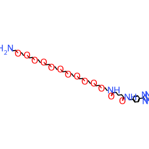 NCCOCCOCCOCCOCCOCCOCCOCCOCCOCCOCCOCCNC(=O)CCCC(=O)NCc1ccc(-c2nncnn2)cc1